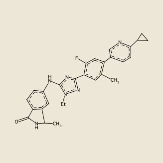 CCn1nc(-c2cc(C)c(-c3ccc(C4CC4)nc3)cc2F)nc1Nc1ccc2c(c1)C(C)NC2=O